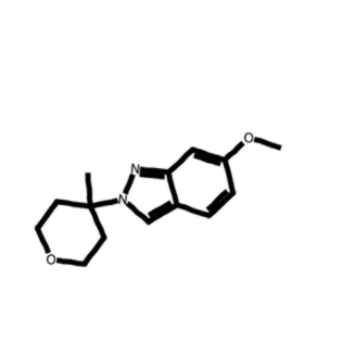 COc1ccc2cn(C3(C)CCOCC3)nc2c1